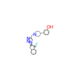 Oc1cccc(C2CCN(Cc3cn([C@@H]4Cc5ccccc5[C@H]4F)nn3)CC2)c1